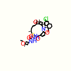 CCO[C@]1(C)C[C@H](NC(=O)N[S@@]2(=O)=NC(=O)c3ccc4c(c3)N(C[C@@H]3CC[C@H]3C(OC)/C=C/C[C@H](C)C2)C[C@@]2(CCCc3cc(Cl)ccc32)CO4)C1